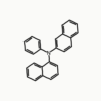 [c]1ccc(N(c2ccc3ccccc3c2)c2cccc3ccccc23)cc1